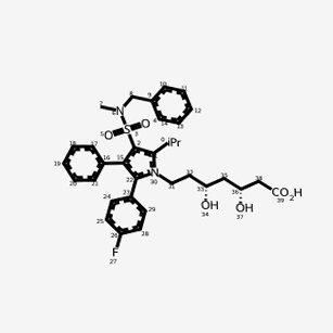 CC(C)c1c(S(=O)(=O)N(C)Cc2ccccc2)c(-c2ccccc2)c(-c2ccc(F)cc2)n1CC[C@@H](O)C[C@@H](O)CC(=O)O